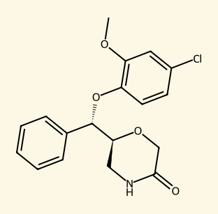 COc1cc(Cl)ccc1O[C@@H](c1ccccc1)[C@@H]1CNC(=O)CO1